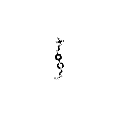 [2H]C([2H])([2H])OCCOc1ccc(N2CCN(CCNC)CC2)cc1